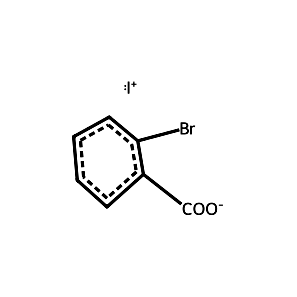 O=C([O-])c1ccccc1Br.[I+]